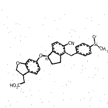 C[S+]([O-])c1ccc(Cc2c(C#N)ccc3c2CC[C@H]3Oc2ccc3c(c2)OCC3CC(=O)O)cc1